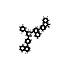 CC1(C)c2ccccc2-c2cc(-c3ccc(-c4nc(-c5ccccc5)cc(-c5ccc(-c6cccc7ccccc67)cc5)n4)c4ccccc34)ccc21